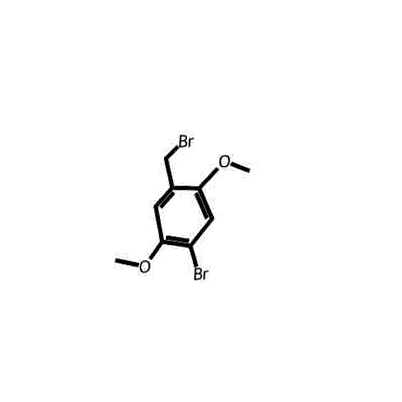 COc1cc(CBr)c(OC)cc1Br